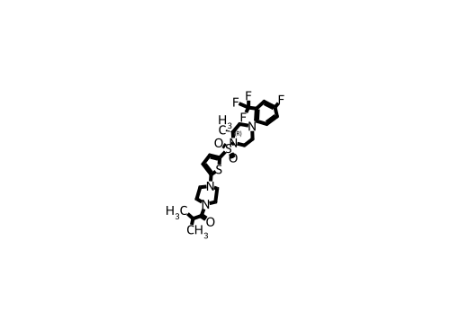 CC(C)C(=O)N1CCN(c2ccc(S(=O)(=O)N3CCN(c4ccc(F)cc4C(F)(F)F)C[C@H]3C)s2)CC1